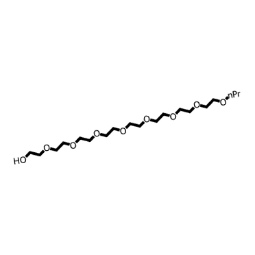 CCCOCCOCCOCCOCCOCCOCCOCCOCCO